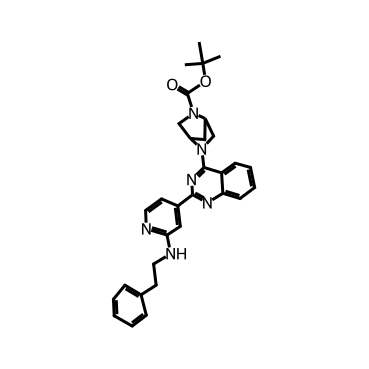 CC(C)(C)OC(=O)N1CC2CC1CN2c1nc(-c2ccnc(NCCc3ccccc3)c2)nc2ccccc12